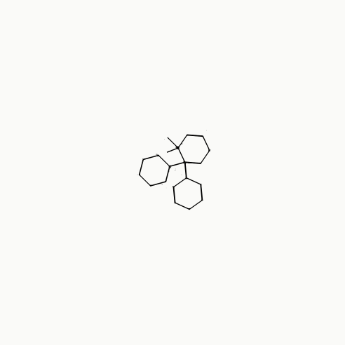 CC1(C)CCCCC1(C1CCCCC1)C1CCCCC1